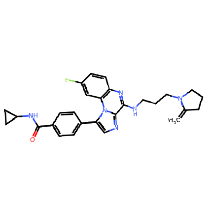 C=C1CCCN1CCCNc1nc2ccc(F)cc2n2c(-c3ccc(C(=O)NC4CC4)cc3)cnc12